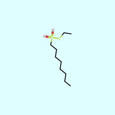 CCCCCCCCS(=O)(=O)SCC